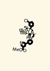 COC(=O)c1cncc(-c2cccc(NC[C@@H](C)N(C[C@@H](O[Si](C)(C)C(C)(C)C)c3cccc(Cl)c3)C(=O)OC(C)(C)C)c2)c1